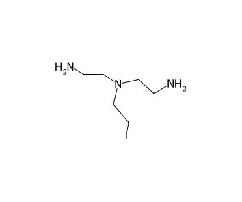 NCCN(CCN)CCI